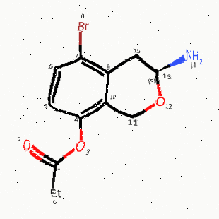 CCC(=O)Oc1ccc(Br)c2c1CO[C@H](N)C2